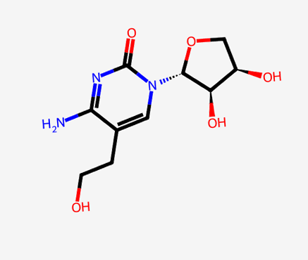 Nc1nc(=O)n([C@@H]2OC[C@@H](O)[C@H]2O)cc1CCO